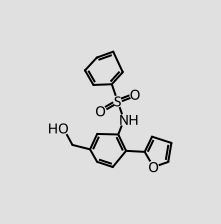 O=S(=O)(Nc1cc(CO)ccc1-c1ccco1)c1ccccc1